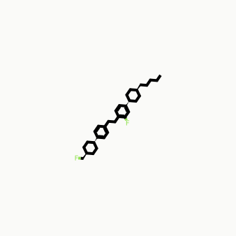 CCCCC[C@H]1CC[C@H](c2ccc(CCc3ccc([C@H]4CC[C@H](CF)CC4)cc3)c(F)c2)CC1